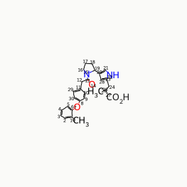 Cc1ccccc1Oc1ccc(CC(=O)N2CCCC2c2c[nH]c(CC(C)C(=O)O)c2)cc1